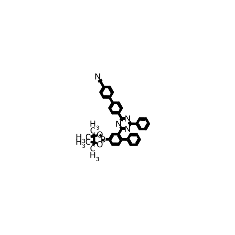 CC1(C)OB(c2ccc(-c3ccccc3)c(-c3nc(-c4ccccc4)nc(-c4ccc(-c5ccc(C#N)cc5)cc4)n3)c2)OC1(C)C